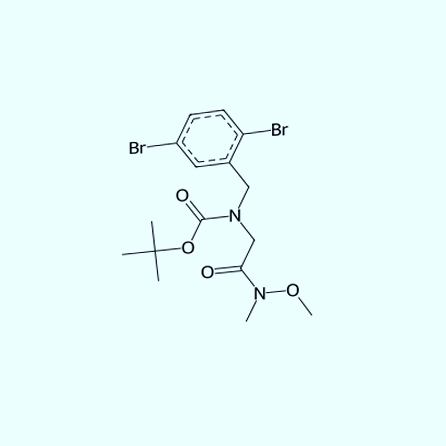 CON(C)C(=O)CN(Cc1cc(Br)ccc1Br)C(=O)OC(C)(C)C